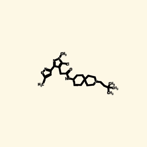 Cc1cc(-c2nn(C)c(Cl)c2CC(=O)NC2CCC3(CC2)CCN(CCC(C)(C)C)CC3)no1